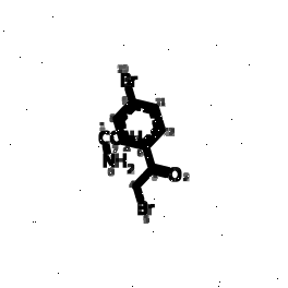 NC(=O)O.O=C(CBr)c1ccc(Br)cc1